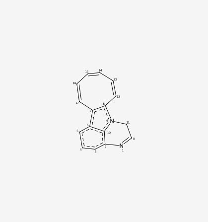 C1=Nc2cccc3c4c(n(c23)C1)\C=C/C=C\C=C/4